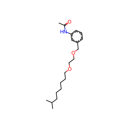 CC(=O)Nc1cccc(COCCOCCCCCCC(C)C)c1